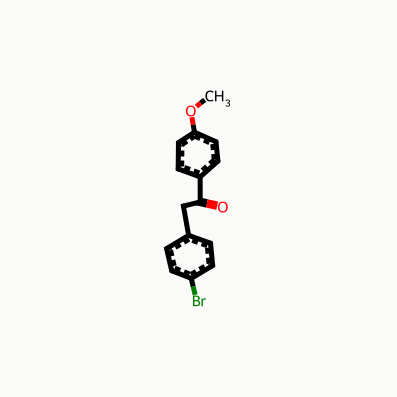 COc1ccc(C(=O)Cc2ccc(Br)cc2)cc1